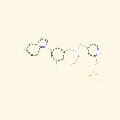 CS(=O)(=O)OCc1cc(CN2CCOc3c(Cl)cc(-n4ccc5cc(F)ccc54)cc3C2)ccn1